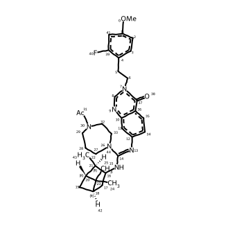 COc1ccc(CCn2cnc3cc(N=C(NC4C[C@H]5C[C@H]([C@H]4C)C5(C)C)N4CCCN(C(C)=O)CC4)ccc3c2=O)c(F)c1